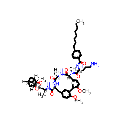 CCCCCCCCc1ccc(C(=O)N[C@@H](CCCN)C(=O)N(C)[C@@H]2C(=O)N[C@@H](C)C(=O)N[C@H](C(=O)N[C@@H](C)B3O[C@@H]4C[C@@H]5C[C@@H](C5(C)C)[C@]4(C)O3)Cc3ccc(OC)c(c3)-c3cc2ccc3OC)cc1